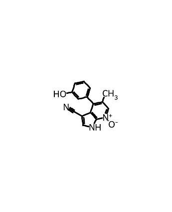 Cc1c[n+]([O-])c2[nH]cc(C#N)c2c1-c1cccc(O)c1